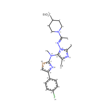 CCOC(=O)C1CCN(/C(C)=N/n2c(C)nc(CC)c2N(C)c2nc(-c3ccc(F)cc3)cs2)CC1